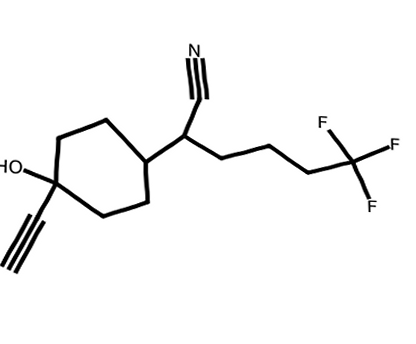 C#CC1(O)CCC(C(C#N)CCCC(F)(F)F)CC1